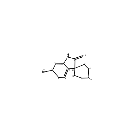 O=C1NC2=CC(Br)CC=C2C12CCSCC2